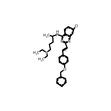 CCN(CC)CCCC(C)Nc1nc(/C=C/c2ccc(OCc3ccccc3)cc2)nc2cc(Cl)ccc12